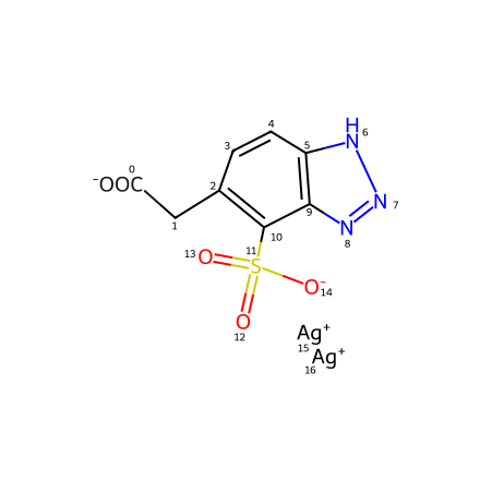 O=C([O-])Cc1ccc2[nH]nnc2c1S(=O)(=O)[O-].[Ag+].[Ag+]